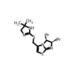 CC(C)[C@H]1N=C2SC=C(CSC3=NCC(C)(C)N3)N2[C@H]1C(C)C